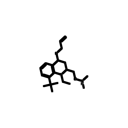 C=CCOC1CC(CO[SiH](C)C)N(CC)c2c1cccc2C(C)(C)C